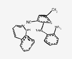 C1=Cc2ccccc2NN=C1.Cc1cc(C#N)c(Nc2ccccc2N)s1